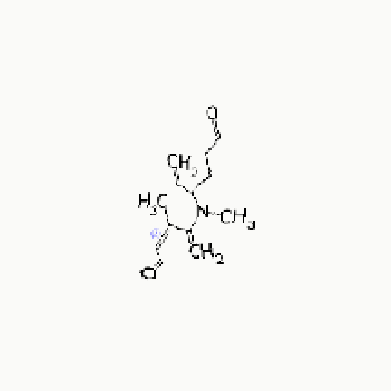 C=CC(CCC=O)N(C)C(=C)/C(C)=C\C=O